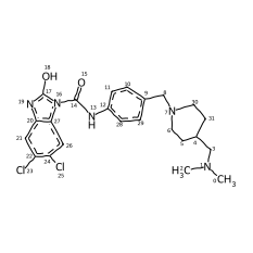 CN(C)CC1CCN(Cc2ccc(NC(=O)n3c(O)nc4cc(Cl)c(Cl)cc43)cc2)CC1